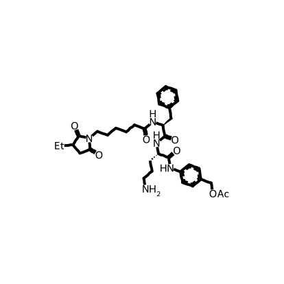 CCC1CC(=O)N(CCCCCC(=O)N[C@@H](Cc2ccccc2)C(=O)N[C@@H](CCCN)C(=O)Nc2ccc(COC(C)=O)cc2)C1=O